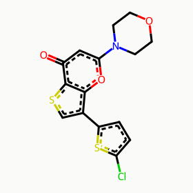 O=c1cc(N2CCOCC2)oc2c(-c3ccc(Cl)s3)csc12